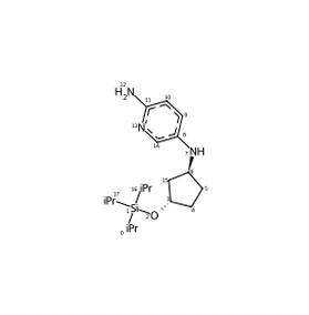 CC(C)[Si](O[C@H]1CC[C@H](Nc2ccc(N)nc2)C1)(C(C)C)C(C)C